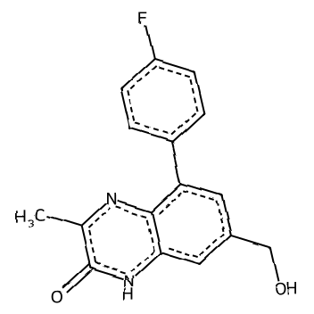 Cc1nc2c(-c3ccc(F)cc3)cc(CO)cc2[nH]c1=O